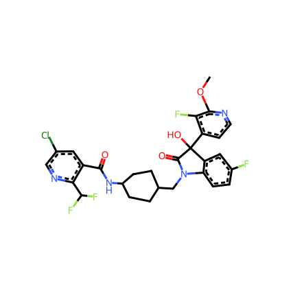 COc1nccc(C2(O)C(=O)N(CC3CCC(NC(=O)c4cc(Cl)cnc4C(F)F)CC3)c3ccc(F)cc32)c1F